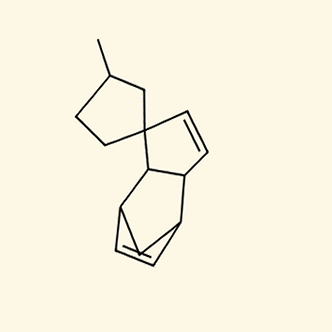 CC1CCC2(C=CC3C4C=CC(C4)C32)C1